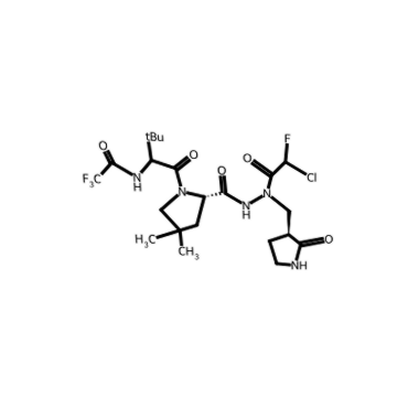 CC1(C)C[C@@H](C(=O)NN(C[C@@H]2CCNC2=O)C(=O)C(F)Cl)N(C(=O)C(NC(=O)C(F)(F)F)C(C)(C)C)C1